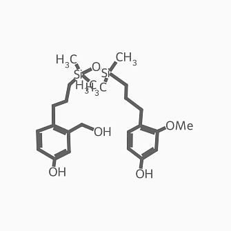 COc1cc(O)ccc1CCC[Si](C)(C)O[Si](C)(C)CCCc1ccc(O)cc1CO